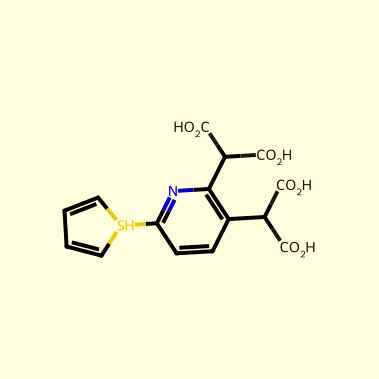 O=C(O)C(C(=O)O)c1ccc([SH]2C=CC=C2)nc1C(C(=O)O)C(=O)O